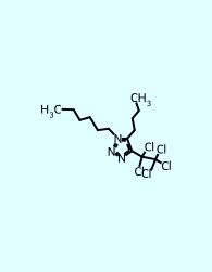 CCCCCCn1nnc(C(Cl)(Cl)C(Cl)(Cl)Cl)c1CCCC